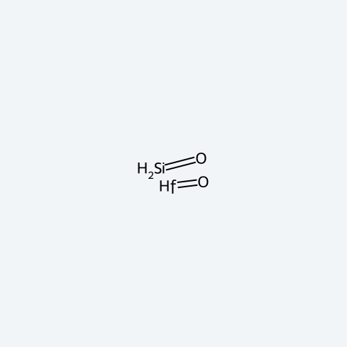 O=[SiH2].[O]=[Hf]